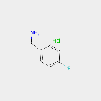 Cl.NCc1ccc(F)cc1